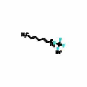 CC=CCC=CC.F[B-](F)(F)F.[Rh+]